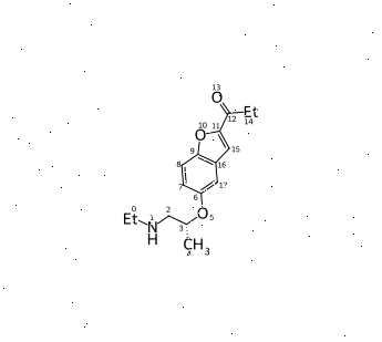 CCNC[C@@H](C)Oc1ccc2oc(C(=O)CC)cc2c1